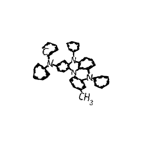 Cc1ccc2c(c1)N(c1ccccc1)c1cccc3c1N2c1ccc(N(c2ccccc2)c2ccccc2)cc1N3c1ccccc1